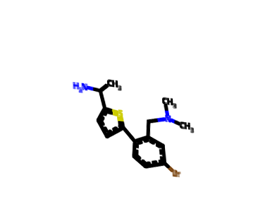 CC(N)c1ccc(-c2ccc(Br)cc2CN(C)C)s1